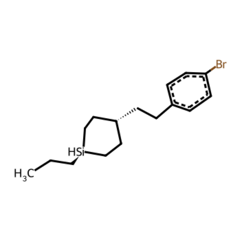 CCC[Si@H]1CC[C@H](CCc2ccc(Br)cc2)CC1